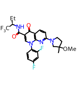 CC[C@@H](NC(=O)c1cn(-c2ccc(F)cc2F)c2nc(N3CCC(C)(OC)C3)ccc2c1=O)C(F)(F)F